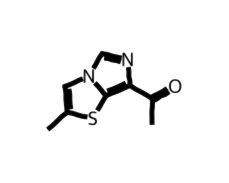 CC(=O)c1ncn2cc(C)sc12